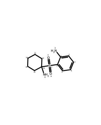 Nc1ccccc1S(=O)(=O)C1(N)CCCCC1